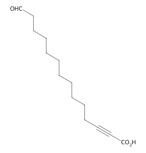 O=CCCCCCCCCCCC#CC(=O)O